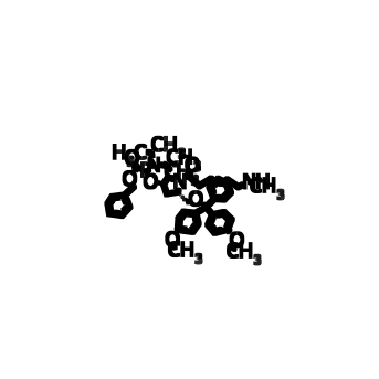 CNCCCCCC(=O)N1C[C@H](OP(C(=O)OCc2ccccc2)N(C(C)C)C(C)C)C[C@H]1COC(c1ccccc1)(c1ccc(OC)cc1)c1ccc(OC)cc1